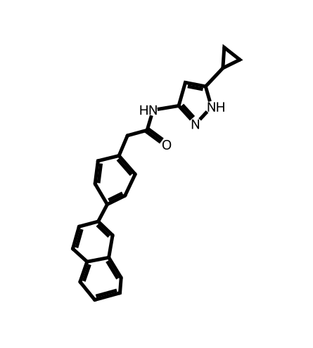 O=C(Cc1ccc(-c2ccc3ccccc3c2)cc1)Nc1cc(C2CC2)[nH]n1